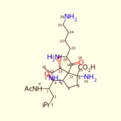 CC(=O)NC(CC(C)C)C(=O)C1CCC(N)(C(=O)O)C1(C(=O)C(C)N)C(=O)C(N)CCCCN